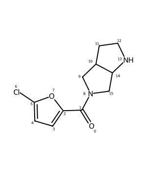 O=C(c1ccc(Cl)o1)N1CC2CCNC2C1